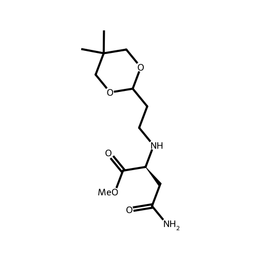 COC(=O)[C@H](CC(N)=O)NCCC1OCC(C)(C)CO1